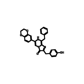 O=c1c(Cc2ccc(O)cc2)nc2c(Cc3ccccc3)[nH]c(-c3ccc4c(c3)OCCO4)cn1-2